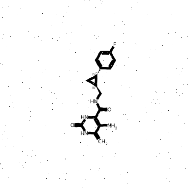 C=C1NC(=O)NC(C(=O)NC[C@H]2C[C@@H]2c2ccc(F)cc2)=C1N